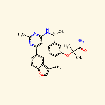 Cc1nc(N[C@H](C)c2cccc(OC(C)(C)C(N)=O)c2)cc(-c2ccc3occ(C)c3c2)n1